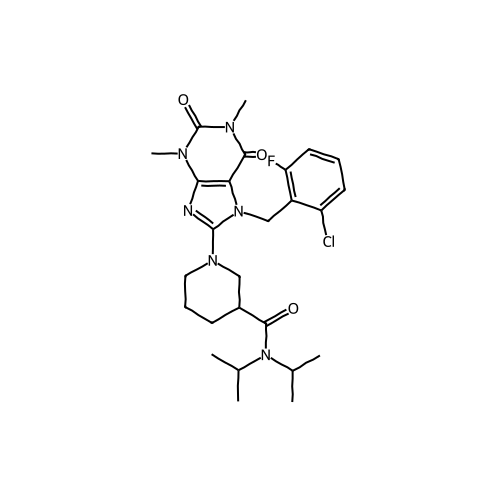 CC(C)N(C(=O)C1CCCN(c2nc3c(c(=O)n(C)c(=O)n3C)n2Cc2c(F)cccc2Cl)C1)C(C)C